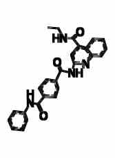 CCNC(=O)c1cc(NC(=O)c2ccc(C(=O)Nc3ccccc3)cc2)nc2ccccc12